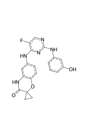 O=C1Nc2cc(Nc3nc(Nc4cccc(O)c4)ncc3F)ccc2OC12CC2